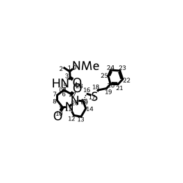 CNC(C)C(=O)N[C@H]1CCC(=O)N2CCC[C@@H](CSCCc3ccccc3)N2C1=O